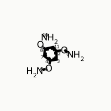 NOc1cc(ON)cc(ON)c1